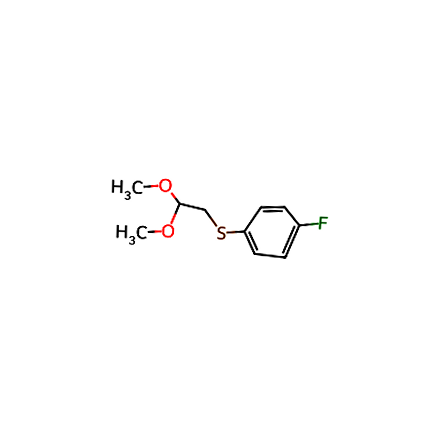 COC(CSc1ccc(F)cc1)OC